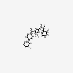 C[C@@H]1CCCN(C2CCN(C(=O)c3sc(N[C@@H](C)c4ncccc4F)nc3C(F)(F)F)CC2)C1